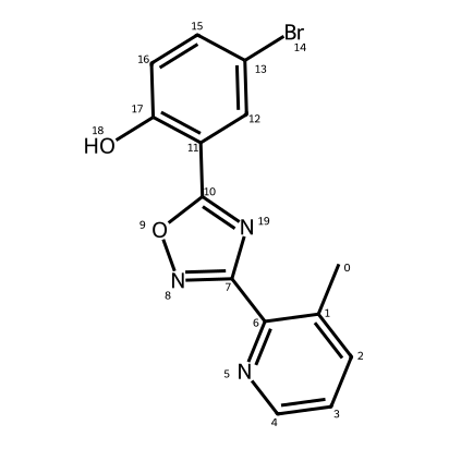 Cc1cccnc1-c1noc(-c2cc(Br)ccc2O)n1